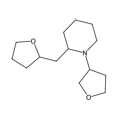 [CH]1CCN(C2CCOC2)C(CC2CCCO2)C1